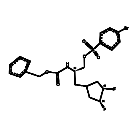 O=C(N[C@H](COS(=O)(=O)c1ccc(Br)cc1)CC1C[C@@H](F)[C@@H](F)C1)OCc1ccccc1